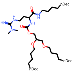 CCCCCCCCCCCCCCNC(=O)C(CCNC(=N)N(C)C)NC(=O)OCC(COCCCCCCCCCCCCCC)OCCCCCCCCCCCCCC